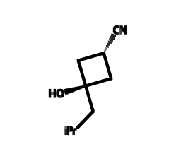 CC(C)C[C@]1(O)C[C@H](C#N)C1